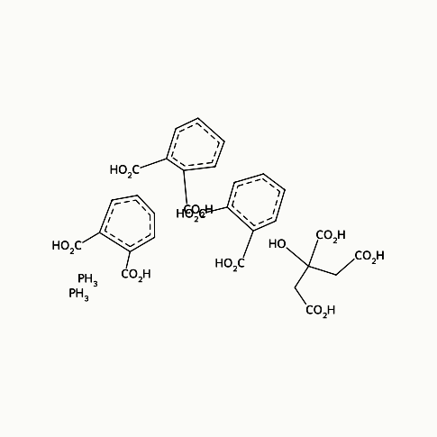 O=C(O)CC(O)(CC(=O)O)C(=O)O.O=C(O)c1ccccc1C(=O)O.O=C(O)c1ccccc1C(=O)O.O=C(O)c1ccccc1C(=O)O.P.P